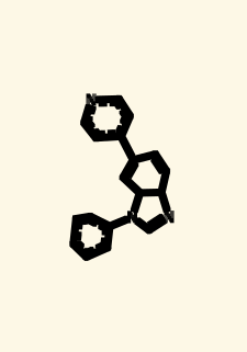 C1=CC2N=CN(c3ccccc3)C2C=C1c1ccncc1